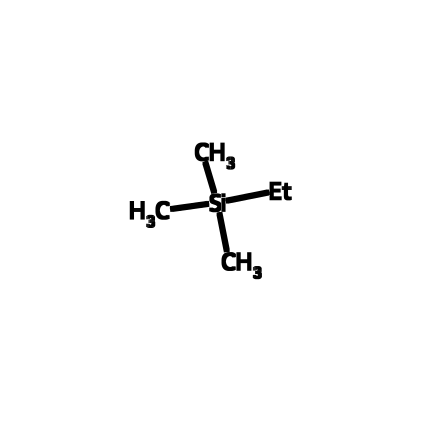 CC[Si](C)(C)C